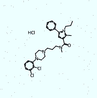 CCCn1c(-c2ccccc2)cc(C(=O)N(C)CCCN2CCN(c3cccc(Cl)c3Cl)CC2)c1C.Cl